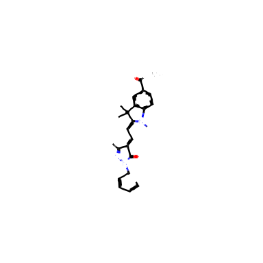 CCCC1=NN(C2C=CC=CC2)C(=O)/C1=C/C=C1\N(C)c2ccc(C(=O)OC)cc2C1(C)C